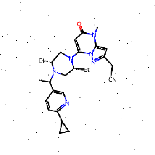 CC[C@H]1CN(C(C)c2ccc(C3CC3)nc2)[C@H](CC)CN1c1cc(=O)n(C)c2cc(CC#N)nn12